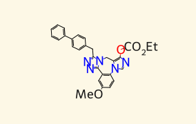 CCOC(=O)Oc1ncn2c1Cn1c(Cc3ccc(-c4ccccc4)cc3)nnc1-c1cc(OC)ccc1-2